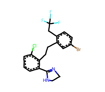 FC(F)(F)Cc1ccc(Br)cc1CCc1c(Cl)cccc1C1=NCCN1